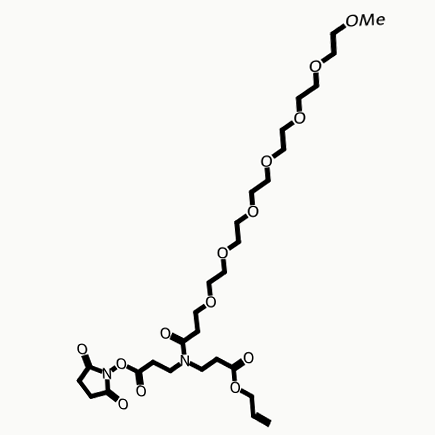 C=CCOC(=O)CCN(CCC(=O)ON1C(=O)CCC1=O)C(=O)CCOCCOCCOCCOCCOCCOCCOC